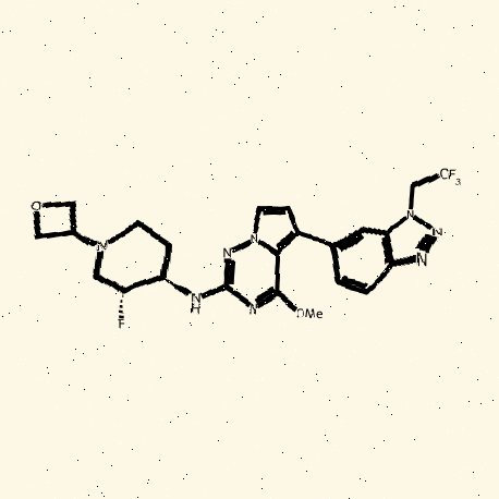 COc1nc(N[C@@H]2CCN(C3COC3)C[C@H]2F)nn2ccc(-c3ccc4nnn(CC(F)(F)F)c4c3)c12